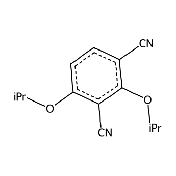 CC(C)Oc1ccc(C#N)c(OC(C)C)c1C#N